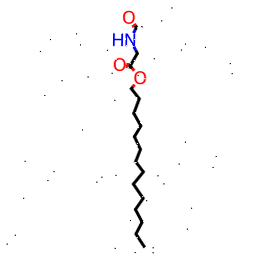 CCCCCCCCCCCCCCOC(=O)CN[C]=O